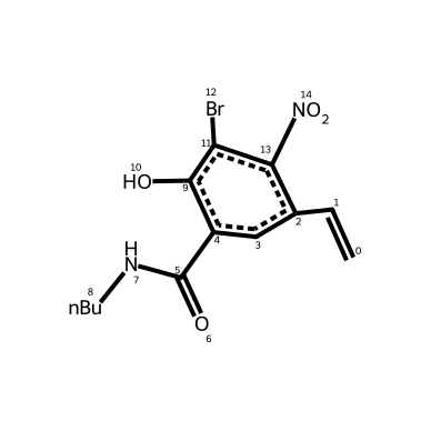 C=Cc1cc(C(=O)NCCCC)c(O)c(Br)c1[N+](=O)[O-]